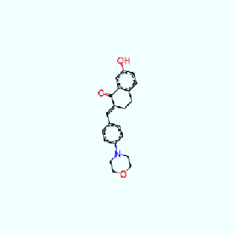 O=C1/C(=C/c2ccc(N3CCOCC3)cc2)CCc2ccc(O)cc21